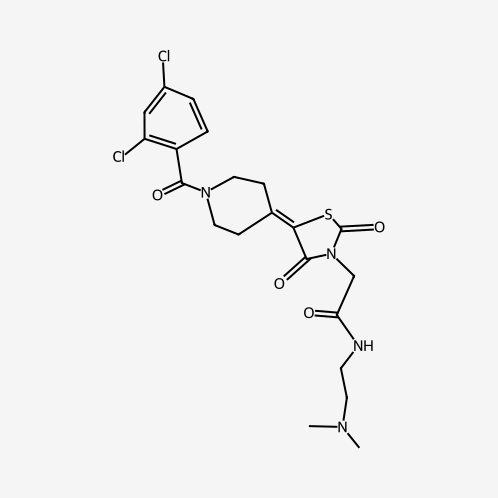 CN(C)CCNC(=O)CN1C(=O)SC(=C2CCN(C(=O)c3ccc(Cl)cc3Cl)CC2)C1=O